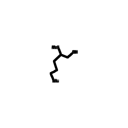 CCCCCCCC(CO)SC